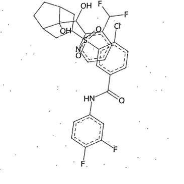 O=C(Nc1ccc(F)c(F)c1)c1ccc(Cl)c(S(=O)(=O)C2CC3CCC(C2)C3(O)C(O)c2ncccc2C(F)F)c1